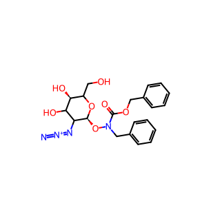 [N-]=[N+]=NC1C(O)[C@@H](O)C(CO)O[C@H]1ON(Cc1ccccc1)C(=O)OCc1ccccc1